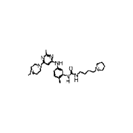 Cc1nc(Nc2ccc(C)c(NC(=O)NCCCCN3CCCC3)c2)cc(N2CCN(C)CC2)n1